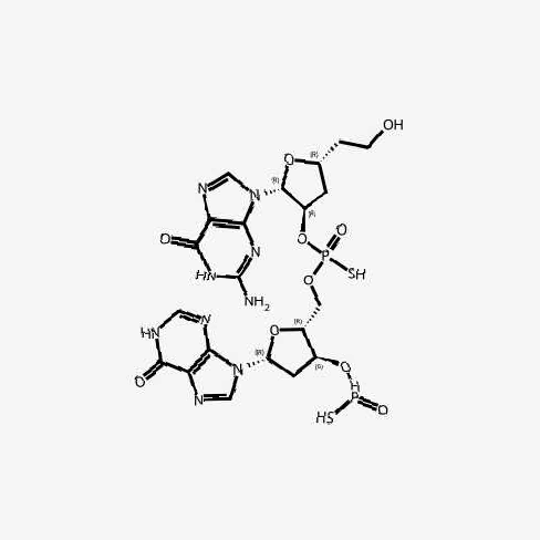 Nc1nc2c(ncn2[C@@H]2O[C@H](CCO)C[C@H]2OP(=O)(S)OC[C@H]2O[C@@H](n3cnc4c(=O)[nH]cnc43)C[C@@H]2O[PH](=O)S)c(=O)[nH]1